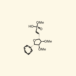 CO[C@@H]1[C@H](OC)[C@@H](/C=C/P(=O)(O)OC)O[C@H]1c1ccccc1